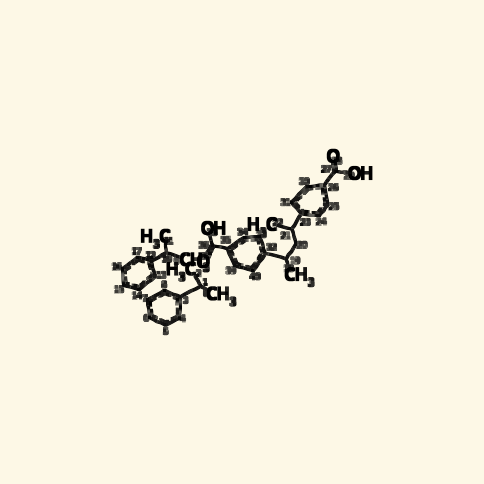 CC(C)c1ccccc1.CC(C)c1ccccc1.CC(CC(C)c1ccc(C(=O)O)cc1)c1ccc(C(=O)O)cc1